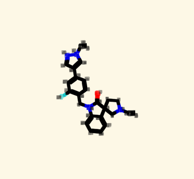 CN1CCC2(C1)C(=O)N(Cc1ccc(-c3cnn(C)c3)cc1F)c1ccccc12